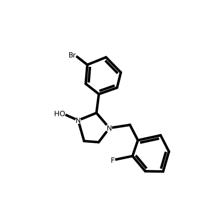 ON1CCN(Cc2ccccc2F)C1c1cccc(Br)c1